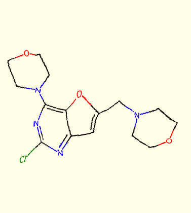 Clc1nc(N2CCOCC2)c2oc(CN3CCOCC3)cc2n1